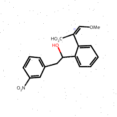 CO/C=C(/C(=O)O)c1ccccc1C(O)Cc1cccc([N+](=O)[O-])c1